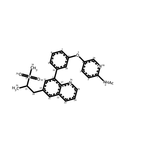 CC(=O)Nc1ccc(Oc2cccc(-c3cc(CC(C)S(C)(=O)=O)cc4cccnc34)c2)cn1